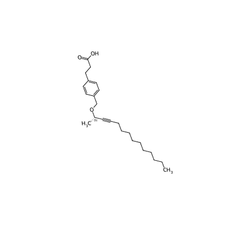 CCCCCCCCCCC#C[C@H](C)OCc1ccc(CCC(=O)O)cc1